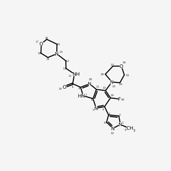 Cn1cc(-c2nc3[nH]c(C(=O)NCCN4CCOCC4)nc3c(N3CCOCC3)c2F)cn1